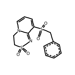 O=S1(=O)CCN2C=CC=C(S(=O)(=O)Cc3ccccc3)C2=N1